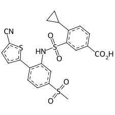 CS(=O)(=O)c1ccc(-c2ccc(C#N)s2)c(NS(=O)(=O)c2cc(C(=O)O)ccc2C2CC2)c1